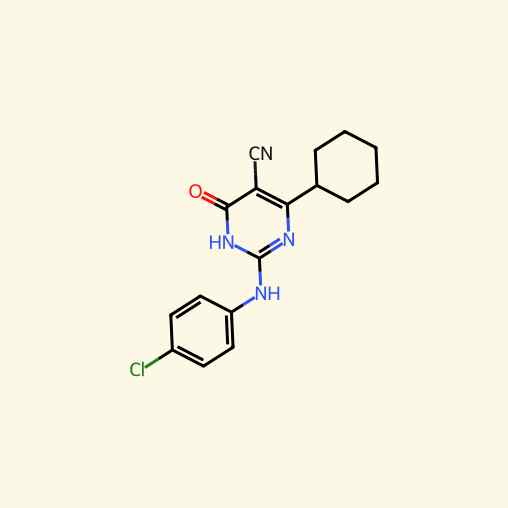 N#Cc1c(C2CCCCC2)nc(Nc2ccc(Cl)cc2)[nH]c1=O